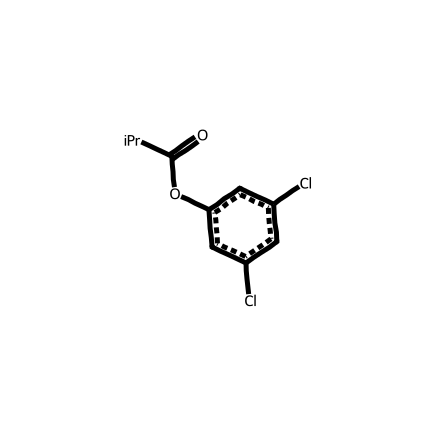 CC(C)C(=O)Oc1cc(Cl)cc(Cl)c1